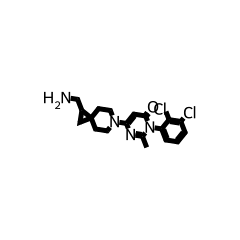 Cc1nc(N2CCC3(CC2)CC3CN)cc(=O)n1-c1cccc(Cl)c1Cl